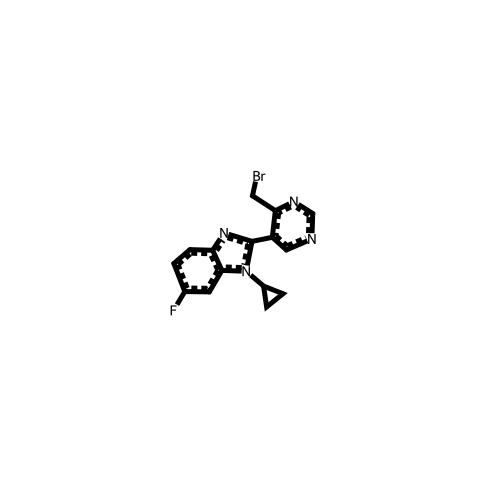 Fc1ccc2nc(-c3cncnc3CBr)n(C3CC3)c2c1